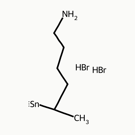 Br.Br.C[CH]([Sn])CCCCN